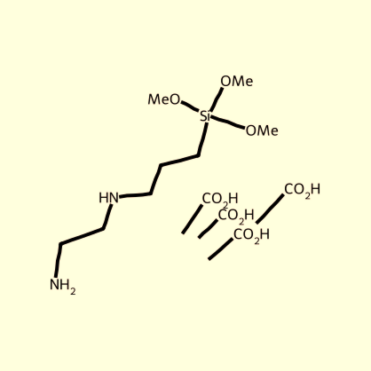 CC(=O)O.CC(=O)O.CC(=O)O.CC(=O)O.CO[Si](CCCNCCN)(OC)OC